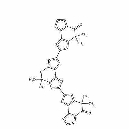 CC1(C)Oc2cc(-c3cc4c(s3)-c3sccc3C(=O)C4(C)C)sc2-c2sc(-c3cc4c(s3)-c3sccc3C(=O)C4(C)C)cc21